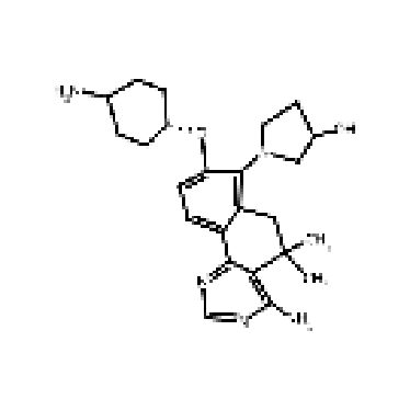 CC1(C)Cc2c(ccc(O[C@H]3CC[C@H](N)CC3)c2N2CCC(O)C2)-c2ncnc(N)c21